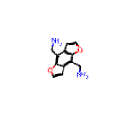 NCc1c2ccoc2c(CN)c2ccoc12